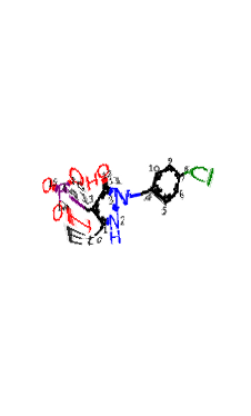 CCc1[nH]n(-c2ccc(Cl)cc2)c(=O)c1P(=O)(O)O